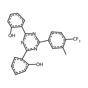 Cc1cc(-c2nc(-c3ccccc3O)nc(-c3ccccc3O)n2)ccc1C(F)(F)F